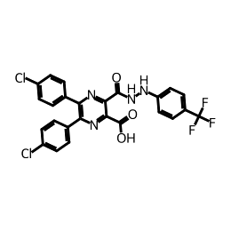 O=C(O)c1nc(-c2ccc(Cl)cc2)c(-c2ccc(Cl)cc2)nc1C(=O)NNc1ccc(C(F)(F)F)cc1